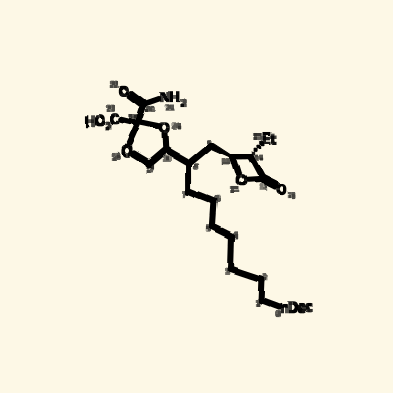 CCCCCCCCCCCCCCCCCC(C[C@@H]1OC(=O)[C@H]1CC)C1COC(C(N)=O)(C(=O)O)O1